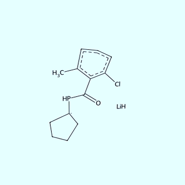 Cc1cccc(Cl)c1C(=O)P[C]1CCCC1.[LiH]